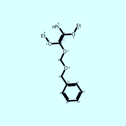 CCC/C(OCC)=C(\OCC)OCOCc1ccccc1